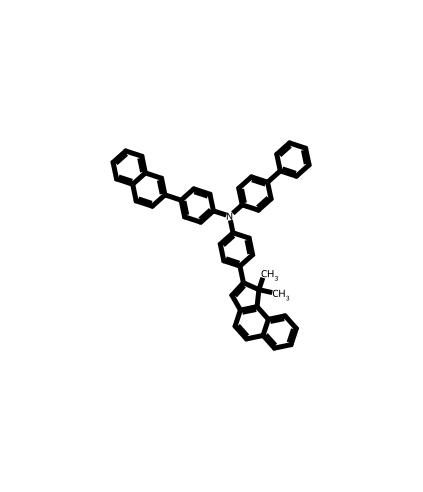 CC1(C)C(c2ccc(N(c3ccc(-c4ccccc4)cc3)c3ccc(-c4ccc5ccccc5c4)cc3)cc2)=Cc2ccc3ccccc3c21